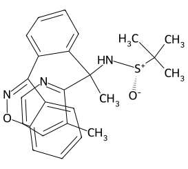 Cc1cccnc1C(C)(N[S@@+]([O-])C(C)(C)C)c1ccccc1-c1noc2ccccc12